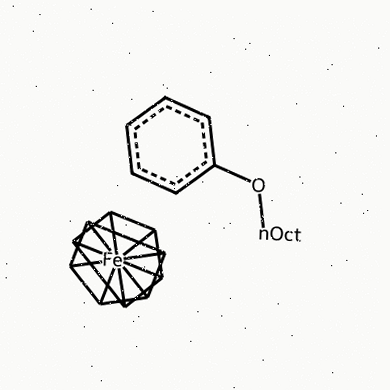 CCCCCCCCOc1ccccc1.[CH]12[CH]3[CH]4[CH]5[CH]1[Fe]23451678[CH]2[CH]1[CH]6[CH]7[CH]28